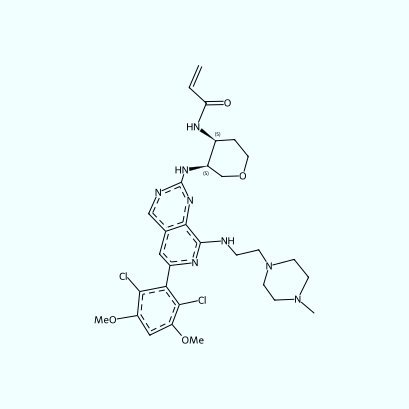 C=CC(=O)N[C@H]1CCOC[C@H]1Nc1ncc2cc(-c3c(Cl)c(OC)cc(OC)c3Cl)nc(NCCN3CCN(C)CC3)c2n1